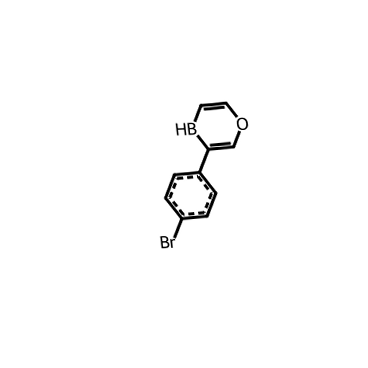 Brc1ccc(C2=COC=CB2)cc1